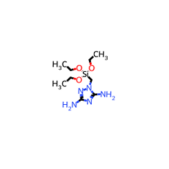 CCO[Si](Cn1nc(N)nc1N)(OCC)OCC